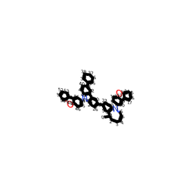 CC1/C=C\C=C/CN(c2ccc3oc4ccccc4c3c2)c2ccc(-c3ccc4c(c3)c3cc(-c5ccccc5)ccc3n4-c3ccc4oc5ccccc5c4c3)cc21